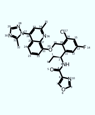 CC[C@H](NC(=O)c1cocn1)c1cc(F)cc(Cl)c1COc1cccc2c(-n3ncnc3C)cc(C)nc12